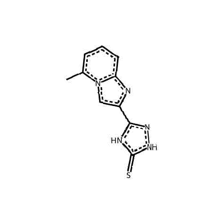 Cc1cccc2nc(-c3n[nH]c(=S)[nH]3)cn12